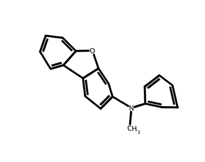 CN(c1ccccc1)c1ccc2c(c1)oc1ccccc12